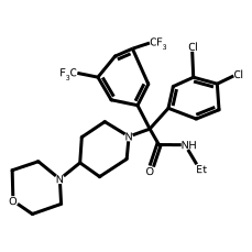 CCNC(=O)C(c1cc(C(F)(F)F)cc(C(F)(F)F)c1)(c1ccc(Cl)c(Cl)c1)N1CCC(N2CCOCC2)CC1